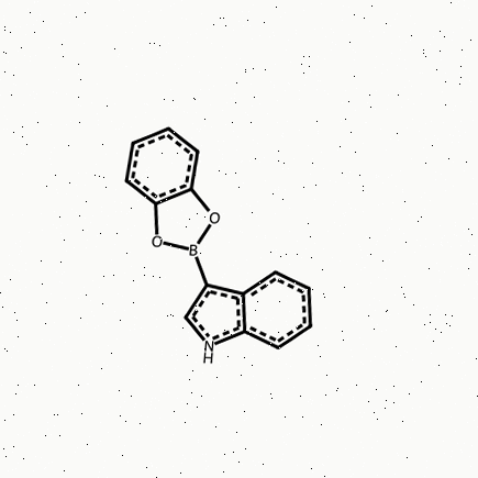 c1ccc2c(c1)OB(c1c[nH]c3ccccc13)O2